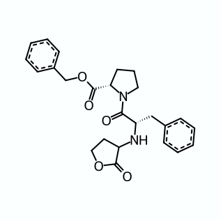 O=C1OCCC1N[C@@H](Cc1ccccc1)C(=O)N1CCC[C@H]1C(=O)OCc1ccccc1